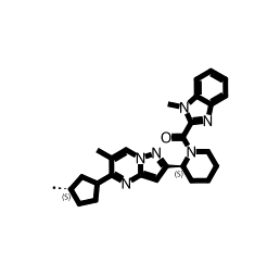 Cc1cn2nc([C@@H]3CCCCN3C(=O)c3nc4ccccc4n3C)cc2nc1C1CC[C@H](C)C1